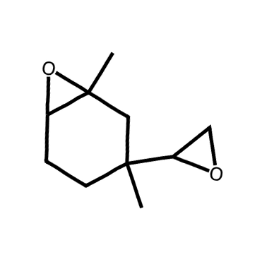 CC1(C2CO2)CCC2OC2(C)C1